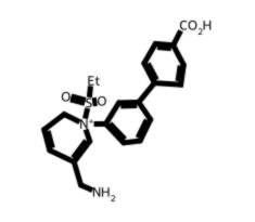 CCS(=O)(=O)[N+]1(c2cccc(-c3ccc(C(=O)O)cc3)c2)C=C(CN)C=CC1